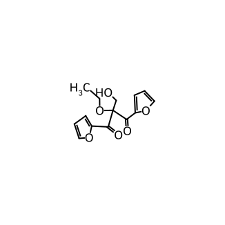 CCOC(CO)(C(=O)c1ccco1)C(=O)c1ccco1